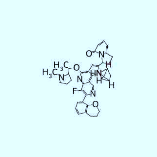 C[C@H](Oc1nc2c(F)c(-c3cccc4c3OCCC4)ncc2c2c1cc(C1CCc3cccc(=O)n31)n2[C@H]1[C@H]2CN[C@@H]1C2)C1CCCN1C